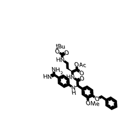 COc1cc([C@H](Nc2ccc(C(=N)N)cc2)C(=O)N[C@@H](CCNC(=O)OC(C)(C)C)C(=O)OC(C)=O)ccc1OCc1ccccc1